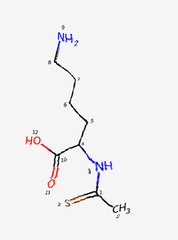 CC(=S)NC(CCCCN)C(=O)O